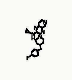 Fc1ccc(CC2CCN(c3nc4cnccc4nc3NC3CC3)CC2)cc1